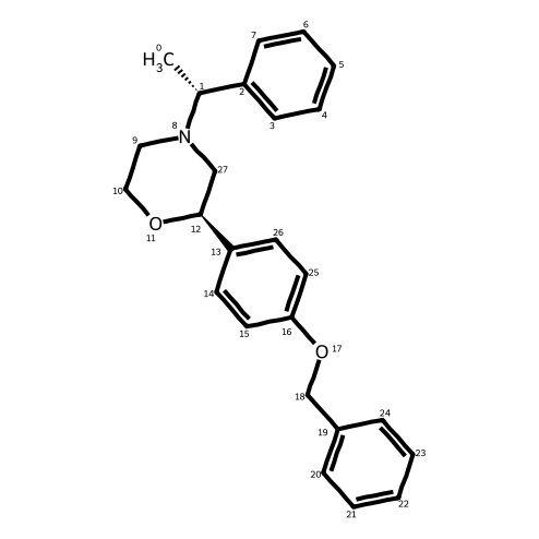 C[C@H](c1ccccc1)N1CCO[C@H](c2ccc(OCc3ccccc3)cc2)C1